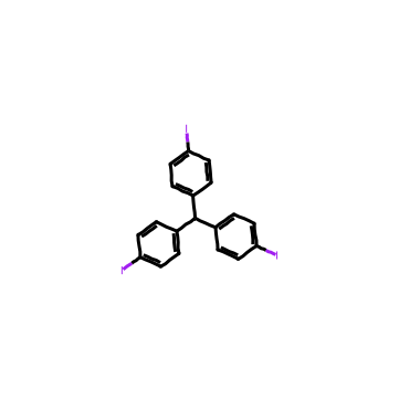 Ic1ccc([C](c2ccc(I)cc2)c2ccc(I)cc2)cc1